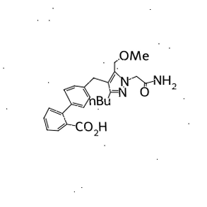 CCCCc1nn(CC(N)=O)c(COC)c1Cc1ccc(-c2ccccc2C(=O)O)cc1